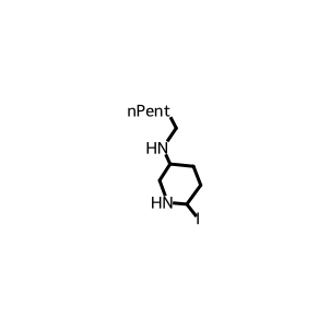 CCCCCCNC1CCC(I)NC1